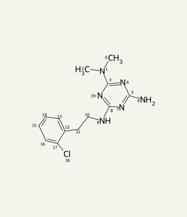 CN(C)c1nc(N)nc(NCCc2ccccc2Cl)n1